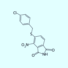 O=C1NC(=O)c2c1ccc(SCc1ccc(Cl)cc1)c2[N+](=O)[O-]